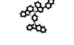 c1ccc2cc(-c3ccc(N(c4ccc(-n5c6ccccc6c6cc7ccccc7cc65)cc4)c4cccc5c4oc4ccccc45)c4ccccc34)ccc2c1